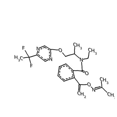 C=C(ON=C(C)C)c1ccccc1C(=O)N(CC)C(C)COc1cnc(C(C)(F)F)cn1